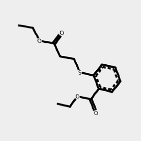 CCOC(=O)CCSc1ccccc1C(=O)OCC